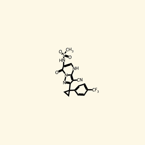 CS(=O)(=O)Nc1c[nH]c2c(C#N)c(C3(c4ccc(C(F)(F)F)cc4)CC3)nn2c1=O